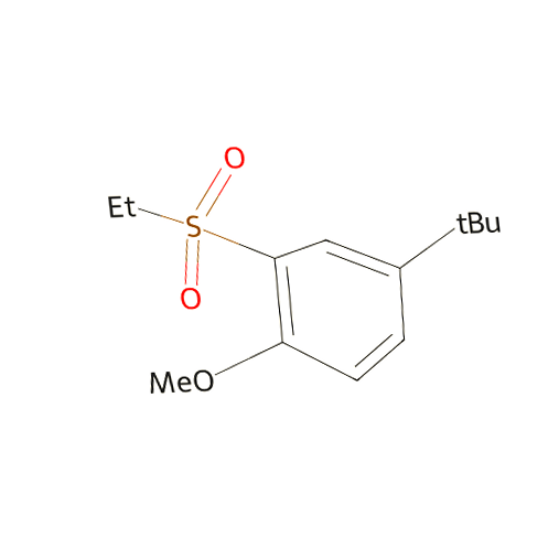 CCS(=O)(=O)c1cc(C(C)(C)C)ccc1OC